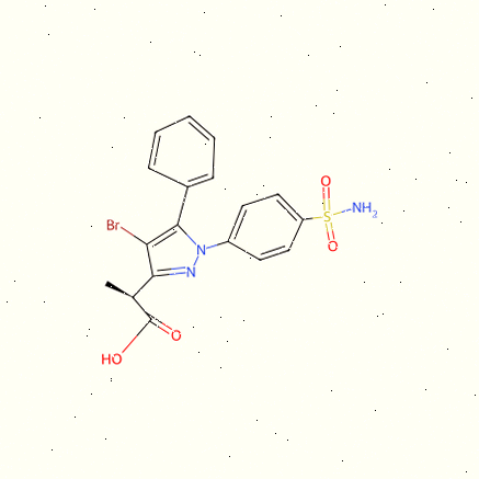 C[C@H](C(=O)O)c1nn(-c2ccc(S(N)(=O)=O)cc2)c(-c2ccccc2)c1Br